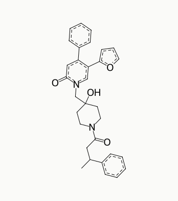 CC(CC(=O)N1CCC(O)(Cn2cc(-c3ccco3)c(-c3ccccc3)cc2=O)CC1)c1ccccc1